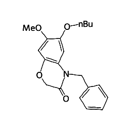 CCCCOc1cc2c(cc1OC)OCC(=O)N2Cc1ccccc1